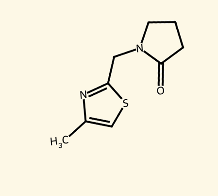 Cc1csc(CN2CCCC2=O)n1